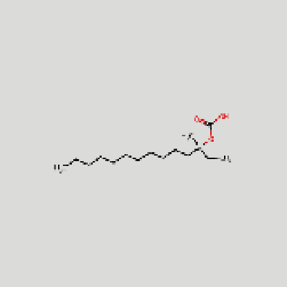 CCCCCCCCCCC[Si](C)(CC)OC(=O)O